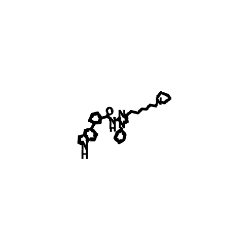 O=C(Nc1nc(CCCCCCN2CCCCC2)cn1-c1ccccc1)c1cccc(-c2ccc3[nH]ccc3c2)c1